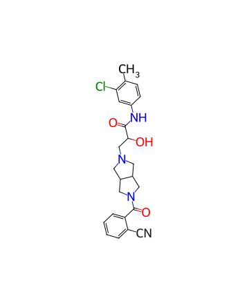 Cc1ccc(NC(=O)C(O)CN2CC3CN(C(=O)c4ccccc4C#N)CC3C2)cc1Cl